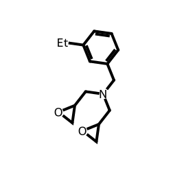 CCc1cccc(CN(CC2CO2)CC2CO2)c1